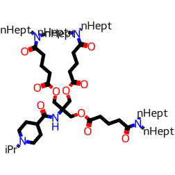 CCCCCCCN(CCCCCCC)C(=O)CCCC(=O)OCC(COC(=O)CCCC(=O)N(CCCCCCC)CCCCCCC)(COC(=O)CCCC(=O)N(CCCCCCC)CCCCCCC)NC(=O)C1CCN(C(C)C)CC1